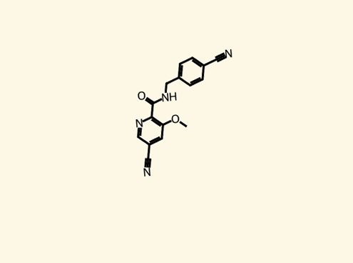 COc1cc(C#N)cnc1C(=O)NCc1ccc(C#N)cc1